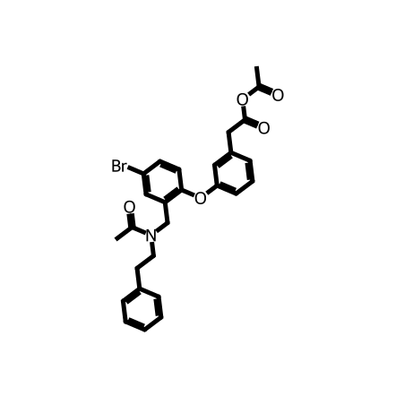 CC(=O)OC(=O)Cc1cccc(Oc2ccc(Br)cc2CN(CCc2ccccc2)C(C)=O)c1